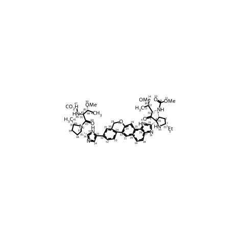 CC[C@H]1CC[C@@](C(=O)[C@@H](NC(=O)OC)[C@@H](C)OC)(c2nc3ccc4cc5c(cc4c3[nH]2)OCc2cc(-c3cnc([C@@H]4CC[C@H](C)N4C(=O)[C@@H](NC(=O)O)[C@@H](C)OC)[nH]3)ccc2-5)N1